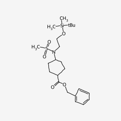 CC(C)(C)[Si](C)(C)OCCN(C1CCC(C(=O)OCc2ccccc2)CC1)S(C)(=O)=O